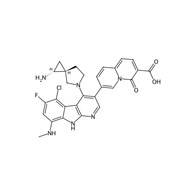 CNc1cc(F)c(Cl)c2c1[nH]c1ncc(-c3ccc4ccc(C(=O)O)c(=O)n4c3)c(N3CC[C@@]4(C[C@H]4N)C3)c12